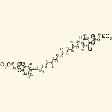 CC1=C(C#C/C(C)=C/C=C/C(C)=C/C=C/C=C(C)/C=C/C=C(C)/C=C/C2=C(C)C(=O)C(OC(=O)CCC(=O)O)CC2(C)C)C(C)(C)CC(OC(=O)CCC(=O)O)C1=O